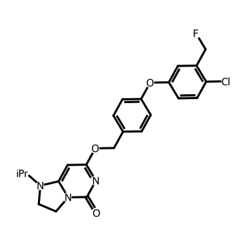 CC(C)N1CCn2c1cc(OCc1ccc(Oc3ccc(Cl)c(CF)c3)cc1)nc2=O